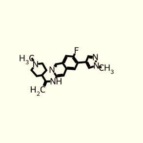 C=C(Nc1cc2cc(-c3cnn(C)c3)c(F)cc2cn1)C1CCN(C)CC1